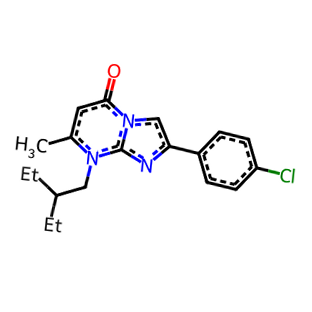 CCC(CC)Cn1c(C)cc(=O)n2cc(-c3ccc(Cl)cc3)nc12